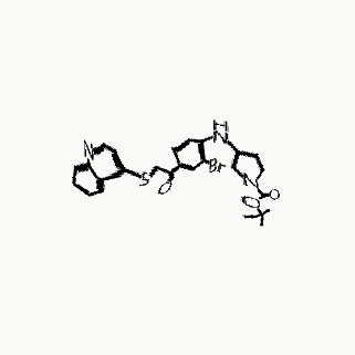 CC(C)(C)OC(=O)N1CCC(Nc2ccc(C(=O)CSc3ccnc4ccccc34)cc2Br)C1